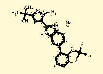 Cn1nc(C(C)(C)C)cc1-c1nc2cc(-c3ccccc3OC(F)(F)F)ccc2[nH]1.[Na]